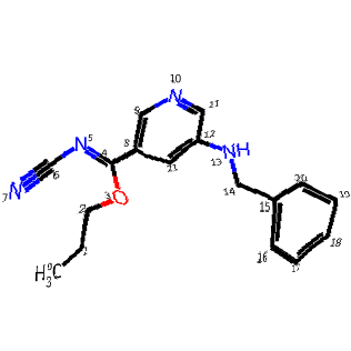 CCCOC(=NC#N)c1cncc(NCc2ccccc2)c1